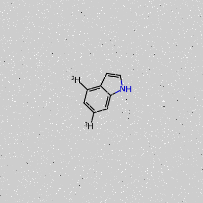 [2H]c1cc([2H])c2cc[nH]c2c1